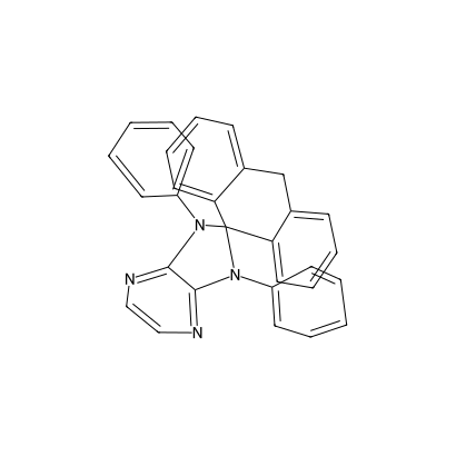 c1ccc(N2c3nccnc3N(c3ccccc3)C23c2ccccc2Cc2ccccc23)cc1